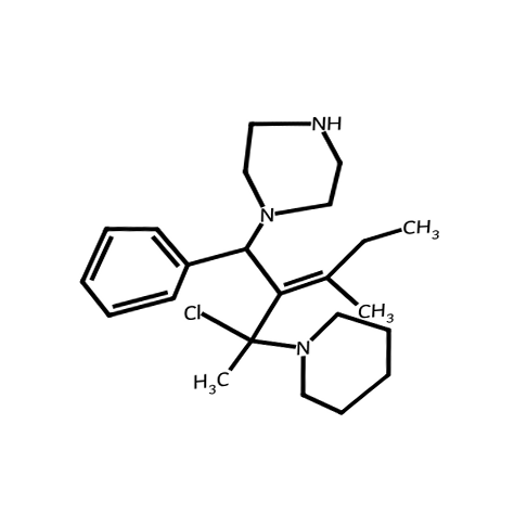 CCC(C)=C(C(c1ccccc1)N1CCNCC1)C(C)(Cl)N1CCCCC1